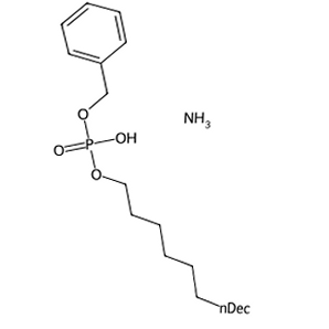 CCCCCCCCCCCCCCCCOP(=O)(O)OCc1ccccc1.N